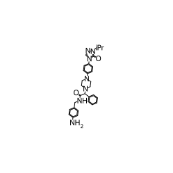 CC(C)n1ncn(-c2ccc(N3CCN(C(C(=O)NCc4ccc(N)cc4)c4ccccc4)CC3)cc2)c1=O